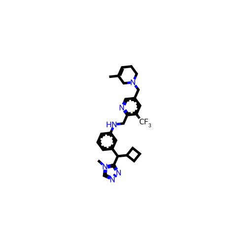 CC1=CCCN(Cc2cnc(CNc3cccc(C(c4nncn4C)C4CCC4)c3)c(C(F)(F)F)c2)C1